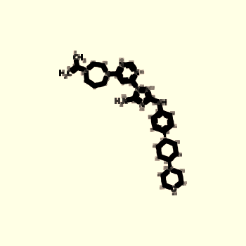 C=C(C)N1CCCN(c2cc(-n3nc(Nc4ccc([C@H]5CC[C@H](N6CCOCC6)CC5)cc4)nc3N)ncn2)CC1